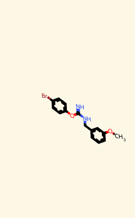 COc1cccc(CNC(=N)Oc2ccc(Br)cc2)c1